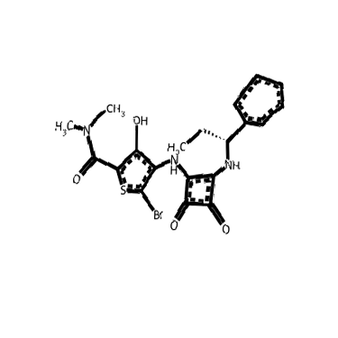 CC[C@@H](Nc1c(Nc2c(Br)sc(C(=O)N(C)C)c2O)c(=O)c1=O)c1ccccc1